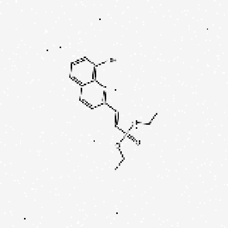 CCOP(=O)(C=Cc1ccc2cccc(O)c2n1)OCC